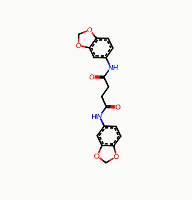 O=C(CCC(=O)Nc1ccc2c(c1)OCO2)Nc1ccc2c(c1)OCO2